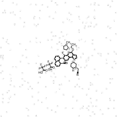 CC(Oc1nc2c(F)c(-c3cccc4cccc(C#N)c34)c(Cl)cc2c2c1ccn2[C@H]1CCN[C@H](CC#N)C1)[C@@H]1CCCN1C.O=C(O)C(F)(F)F.O=C(O)C(F)(F)F